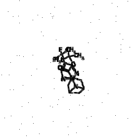 CC(C)(C)OC(=O)N1CC2CC(C1)N2c1ncc(C(F)(F)F)cn1